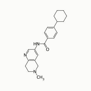 CN1CCc2ncc(NC(=O)c3ccc(C4CCCCC4)cc3)cc2C1